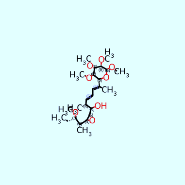 CC[C@H](OC)[C@@H](C)[C@@H]1O[C@H]1[C@H](O)[C@H](C)/C=C/C=C(\C)[C@@H]1O[C@H](OC)[C@H](OC)[C@@H](OC)[C@@H]1OC